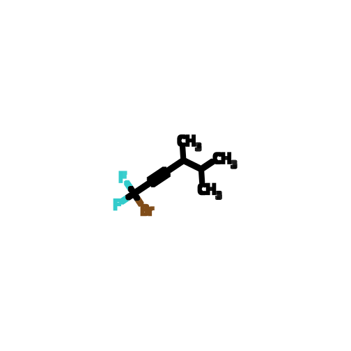 CC(C)C(C)C#CC(F)(F)Br